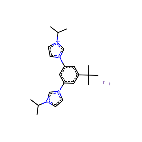 CC(C)[n+]1ccn(-c2cc(-n3cc[n+](C(C)C)c3)cc(C(C)(C)C)c2)c1.[I-].[I-]